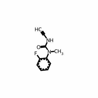 C#CNC(=O)N(C)c1ccccc1F